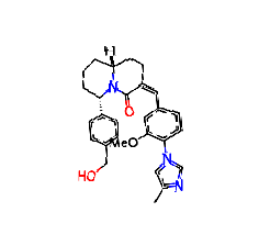 COc1cc(C=C2CC[C@H]3CCC[C@@H](c4ccc(CO)cc4)N3C2=O)ccc1-n1cnc(C)c1